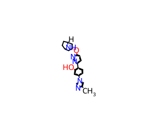 Cc1cn(-c2ccc(-c3ccc(O[C@@H]4CC5CC[C@@H](C4)N5)nn3)c(O)c2)cn1